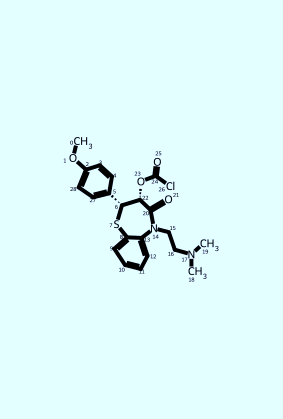 COc1ccc([C@H]2Sc3ccccc3N(CCN(C)C)C(=O)[C@H]2OC(=O)Cl)cc1